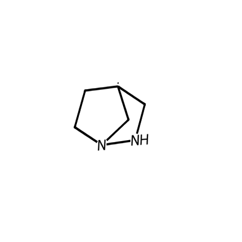 C1CN2C[C]1CN2